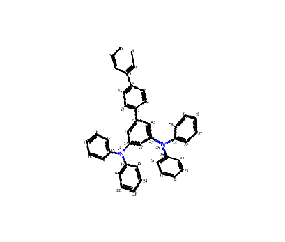 C/C=C\C(=C/C)c1ccc(-c2cc(N(c3ccccc3)c3ccccc3)cc(N(c3ccccc3)c3ccccc3)c2)cc1